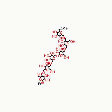 CCOC1OC(CO)C(COCC2OC(CO)C(COCC3OC(COC4OC(CO)C(COCC5OC(CO)C(COCC6OC(COC)C(O)[C@@H](O)[C@@H]6O)[C@@H](O)[C@@H]5O)[C@@H](O)[C@@H]4O)C(O)[C@@H](O)[C@@H]3O)[C@@H](O)[C@@H]2O)[C@@H](O)[C@@H]1O